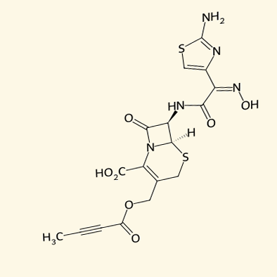 CC#CC(=O)OCC1=C(C(=O)O)N2C(=O)[C@@H](NC(=O)/C(=N\O)c3csc(N)n3)[C@H]2SC1